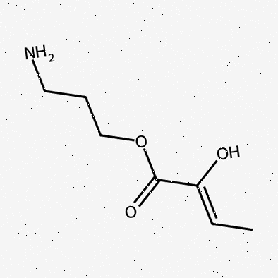 CC=C(O)C(=O)OCCCN